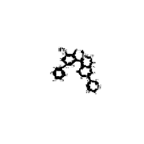 Cc1c(-c2c3ccc(-c4cccnc4)cc3cc[n+]2C)cc(-c2ccccc2)cc1C(C)C